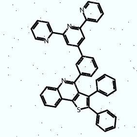 c1ccc(-c2sc3c(c(-c4cccc(-c5cc(-c6ccccn6)nc(-c6ccccn6)c5)c4)nc4ccccc43)c2-c2ccccc2)cc1